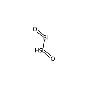 O=[SiH][Bi]=[O]